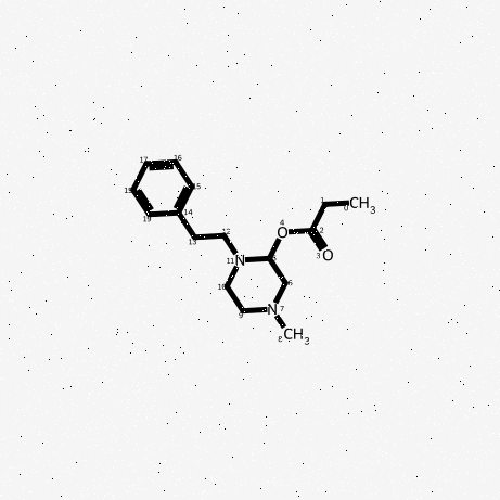 CCC(=O)OC1CN(C)CCN1CCc1ccccc1